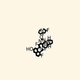 C#Cc1c(F)ccc2cc(O)cc(-c3nc4c5c(nc(OC[C@@]67CCCN6C[C@H](F)C7)nc5c3F)N3C[C@H]5CC[C@H](N5)[C@H]3C[C@H]4C)c12